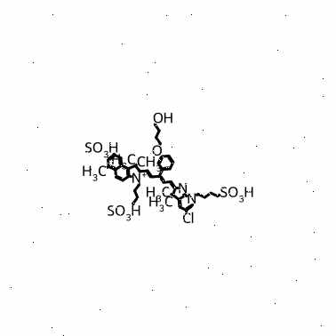 Cc1cc(S(=O)(=O)O)cc2c3c(ccc12)[N+](CCCCS(=O)(=O)O)=C(/C=C/C(=C/C=C1/N=C2C(=CC(Cl)=CN2CCCCS(=O)(=O)O)C1(C)C)c1cccc(OCCCCO)c1)C3(C)C